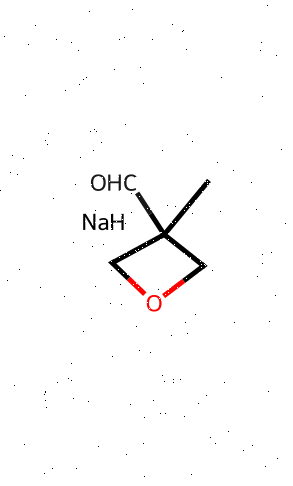 CC1(C=O)COC1.[NaH]